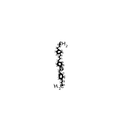 C=CCCc1ccc(CCCCc2ccc(OCc3ccc(CCC=C)cc3)cc2)cc1